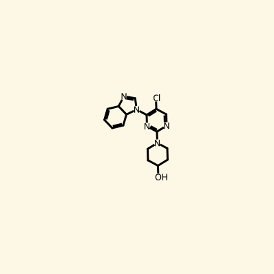 OC1CCN(c2ncc(Cl)c(N3C=NC4C=CC=CC43)n2)CC1